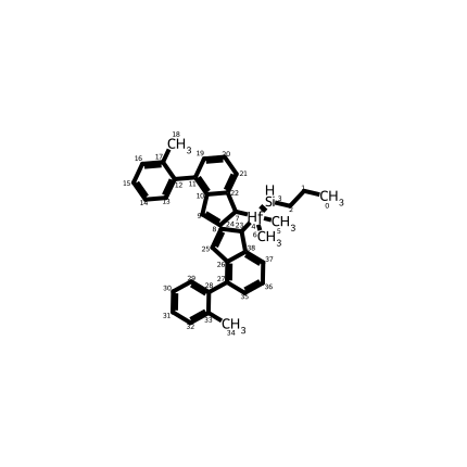 CCC[SiH]=[Hf]([CH3])([CH3])([CH]1C=Cc2c(-c3ccccc3C)cccc21)[CH]1C=Cc2c(-c3ccccc3C)cccc21